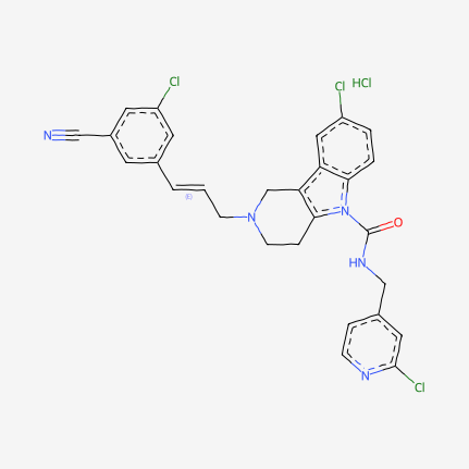 Cl.N#Cc1cc(Cl)cc(/C=C/CN2CCc3c(c4cc(Cl)ccc4n3C(=O)NCc3ccnc(Cl)c3)C2)c1